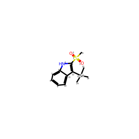 CS(=O)(=O)c1[nH]c2ccccc2[c]1[Sn]([CH3])([CH3])[CH3]